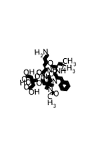 CC(=O)N1CC2(CCN(C(=O)[C@@H](CCCCN)NC(=O)[C@@H](CC(C)C)NC(=O)[C@H](N)Cc3ccccc3)CC2)C1.O=C(O)CC(O)(CC(=O)O)C(=O)O